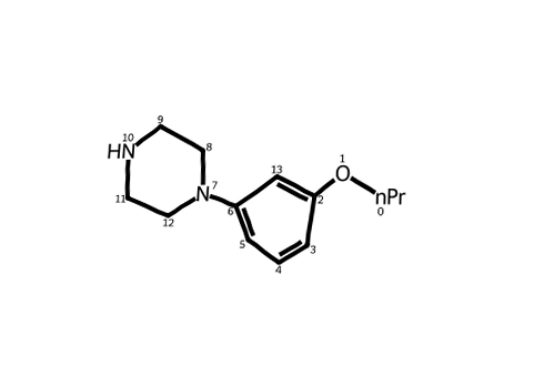 CCCOc1cccc(N2CCNCC2)c1